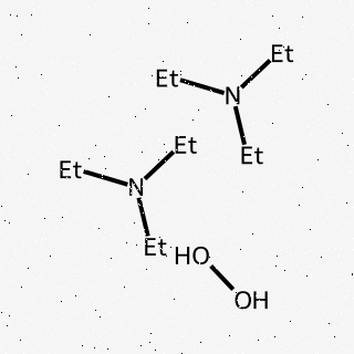 CCN(CC)CC.CCN(CC)CC.OO